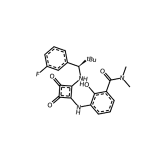 CN(C)C(=O)c1cccc(Nc2c(N[C@@H](c3cccc(F)c3)C(C)(C)C)c(=O)c2=O)c1O